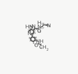 C=CC(=O)Nc1cccc(-c2cc3c(C(=O)NCCC#N)n[nH]c3cn2)c1